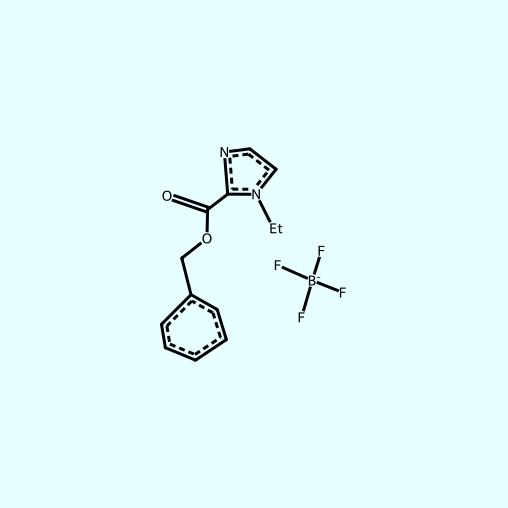 CCn1ccnc1C(=O)OCc1ccccc1.F[B-](F)(F)F